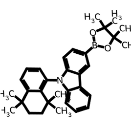 CC1(C)CCC(C)(C)c2c(-n3c4ccccc4c4cc(B5OC(C)(C)C(C)(C)O5)ccc43)cccc21